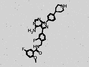 COc1ccc(F)cc1C(=O)NCc1ccc(-c2nn(-c3ccc(C4CCNCC4)cc3)c3ncnc(N)c23)cc1F